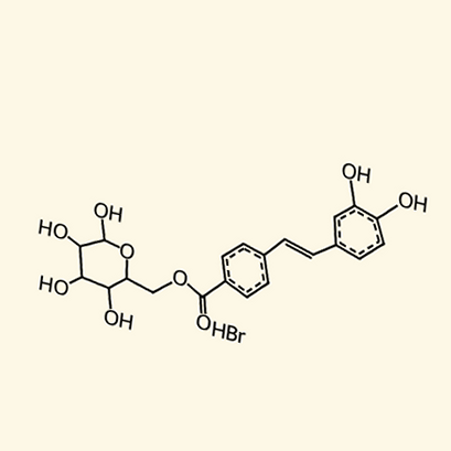 Br.O=C(OCC1OC(O)C(O)C(O)C1O)c1ccc(C=Cc2ccc(O)c(O)c2)cc1